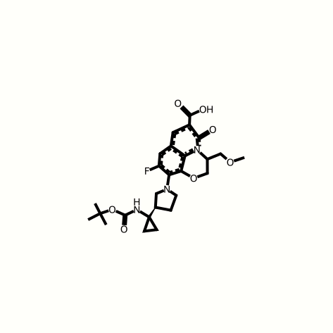 COCC1COc2c(N3CC[C@@H](C4(NC(=O)OC(C)(C)C)CC4)C3)c(F)cc3cc(C(=O)O)c(=O)n1c23